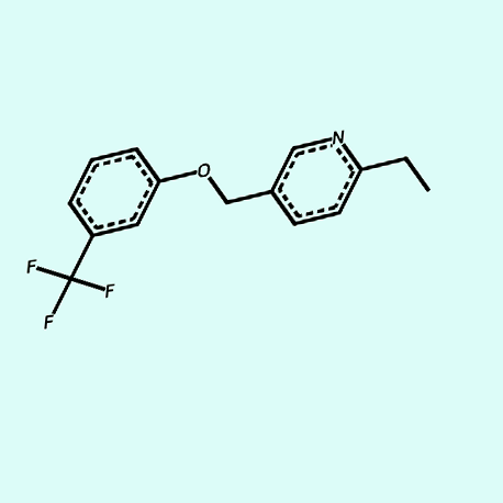 CCc1ccc(COc2cccc(C(F)(F)F)c2)cn1